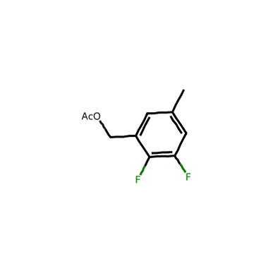 CC(=O)OCc1cc(C)cc(F)c1F